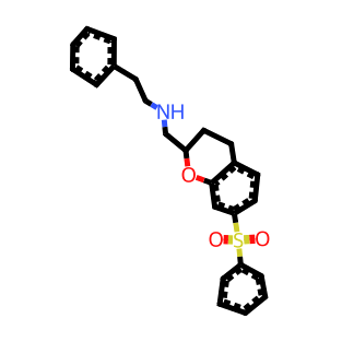 O=S(=O)(c1ccccc1)c1ccc2c(c1)OC(CNCCc1ccccc1)CC2